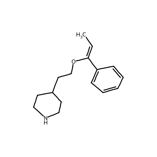 C/C=C(\OCCC1CCNCC1)c1ccccc1